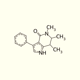 CC1c2[nH]cc(-c3ccccc3)c2C(=O)N(C)C1C